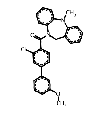 COc1cccc(-c2ccc(C(=O)N3Cc4ccccc4N(C)c4ccccc43)c(Cl)c2)c1